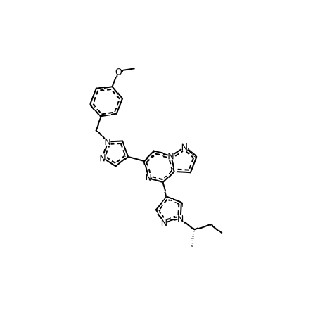 CC[C@H](C)n1cc(-c2nc(-c3cnn(Cc4ccc(OC)cc4)c3)cn3nccc23)cn1